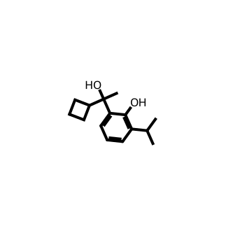 CC(C)c1cccc(C(C)(O)C2CCC2)c1O